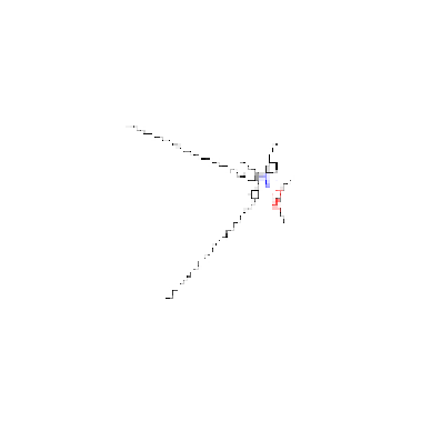 CCCCCCCCCCCCCCCCCCCCCCCCCC=CC1=C(c2ccc(CCCCCCCCCCCCCCCCCCCCCCCCCC)cc2)[N+](=[N-])C(c2cccc(CCCC)c2)=C1CCCC.CCCC[O][Ni][O]CCCC